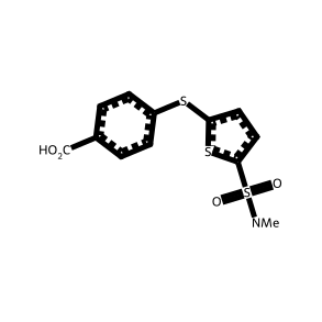 CNS(=O)(=O)c1ccc(Sc2ccc(C(=O)O)cc2)s1